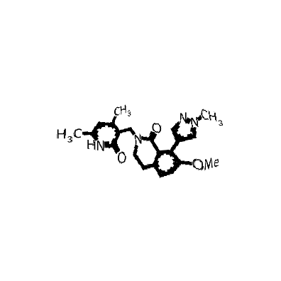 COc1ccc2c(c1-c1cnn(C)c1)C(=O)N(Cc1c(C)cc(C)[nH]c1=O)CC2